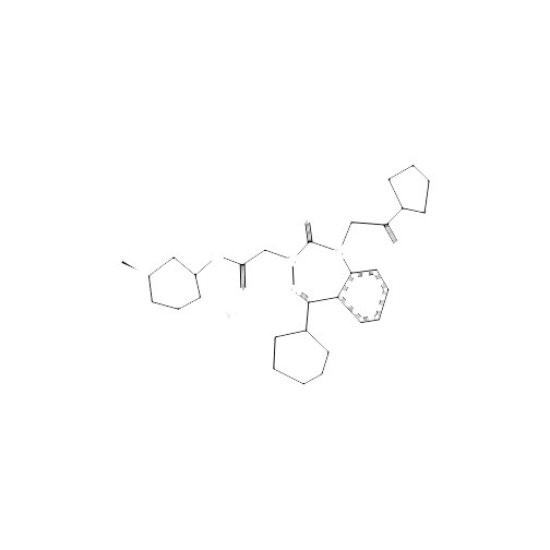 CC(C)[C@@H]1CC[C@@H](C)CC1OC(=O)CN1N=C(C2CCCCC2)c2ccccc2N(CC(=O)C2CCCC2)C1=O